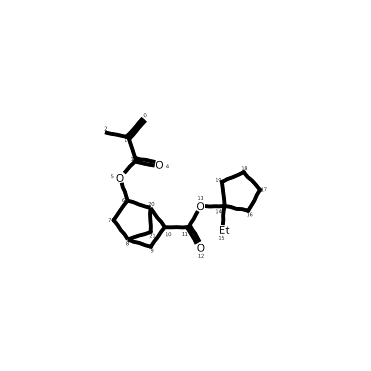 C=C(C)C(=O)OC1CC2CC(C(=O)OC3(CC)CCCC3)C1C2